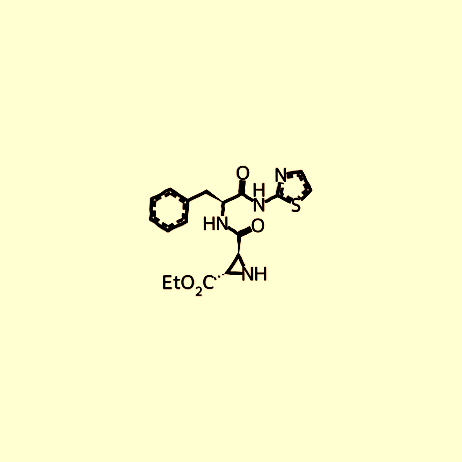 CCOC(=O)[C@H]1N[C@@H]1C(=O)N[C@@H](Cc1ccccc1)C(=O)Nc1nccs1